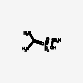 C=O.NC(N)=O.O=S(=O)(O)O